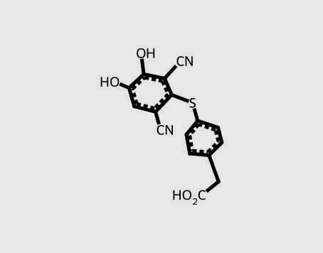 N#Cc1cc(O)c(O)c(C#N)c1Sc1ccc(CC(=O)O)cc1